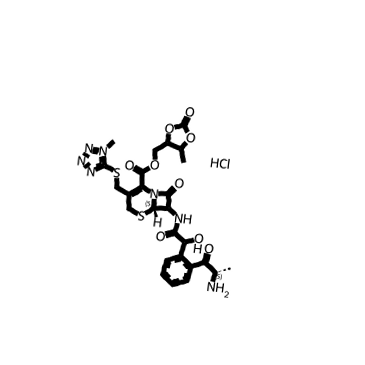 CC1OC(=O)OC1COC(=O)C1=C(CSc2nnnn2C)CS[C@H]2C(NC(=O)C(O)c3ccccc3C(=O)[C@H](C)N)C(=O)N12.Cl